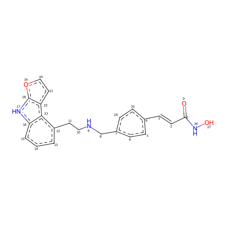 O=C(/C=C/c1ccc(CNCCc2cccc3[nH]c4occc4c23)cc1)NO